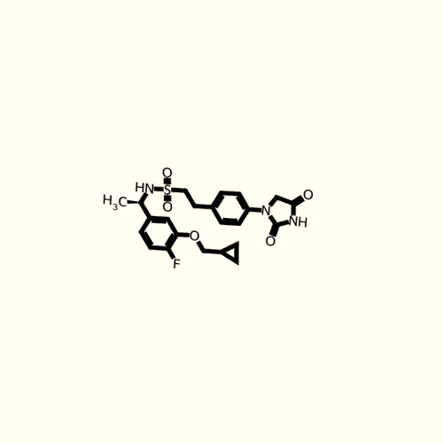 C[C@@H](NS(=O)(=O)CCc1ccc(N2CC(=O)NC2=O)cc1)c1ccc(F)c(OCC2CC2)c1